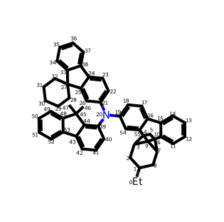 CCC1CC2CCCC(C1)C21c2ccccc2-c2ccc(N(c3ccc4c(c3)C3(CCCCC3)c3ccccc3-4)c3cccc4c3C(C)(C)c3ccccc3-4)cc21